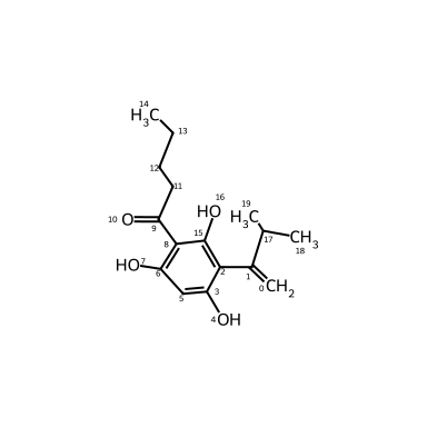 C=C(c1c(O)cc(O)c(C(=O)CCCC)c1O)C(C)C